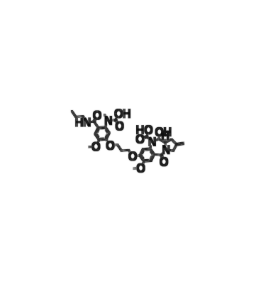 C=C1C[C@H]2C(O)N(C(=O)O)c3cc(OCCCOc4cc(N(C)C(=O)O)c(C(=O)NCCC)cc4OC)c(OC)cc3C(=O)N2C1